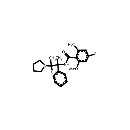 COc1cc(F)cc(C)c1C(=O)NC(C)(c1ccccc1)C(C)(C)N1CCCC1